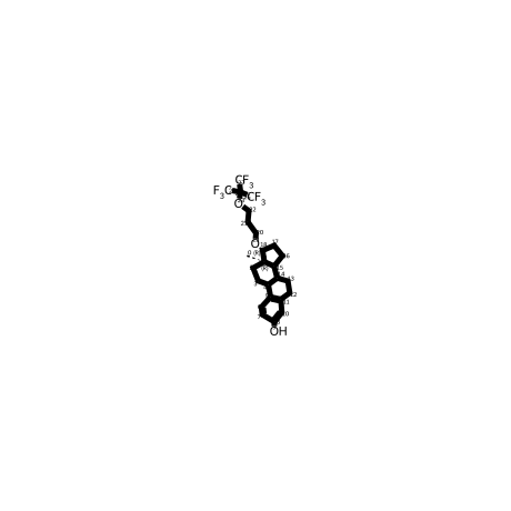 C[C@@]12CCC3c4ccc(O)cc4CCC3C1CC[C@H]2OCCCOC(C(F)(F)F)(C(F)(F)F)C(F)(F)F